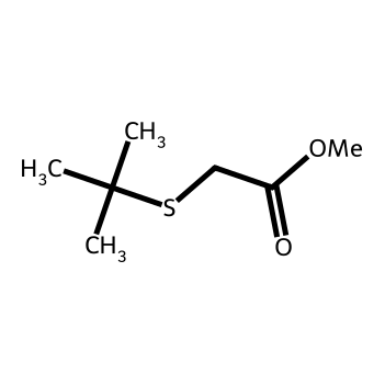 COC(=O)CSC(C)(C)C